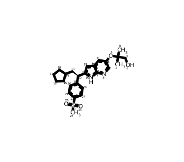 CC(C)(CO)Oc1cnc2[nH]c([C@H](CC3CCCC3)c3ccc(S(C)(=O)=O)cc3)cc2c1